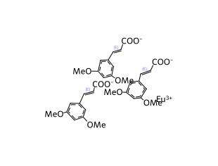 COc1cc(/C=C/C(=O)[O-])cc(OC)c1.COc1cc(/C=C/C(=O)[O-])cc(OC)c1.COc1cc(/C=C/C(=O)[O-])cc(OC)c1.[Eu+3]